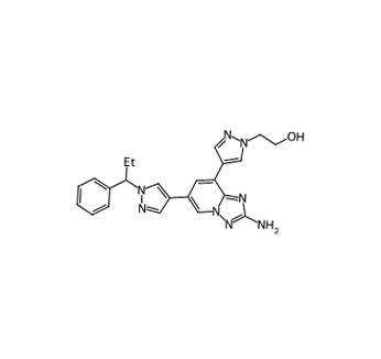 CCC(c1ccccc1)n1cc(-c2cc(-c3cnn(CCO)c3)c3nc(N)nn3c2)cn1